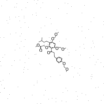 COCOc1ccc(CCC(=O)c2c(OCOC)cc(OCOC)c(CCC(C)C)c2OCC(=O)OC)cc1